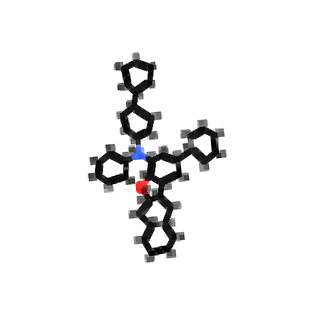 c1ccc(-c2ccc(N(c3ccccc3)c3cc(-c4ccccc4)cc4c3oc3cc5ccccc5cc34)cc2)cc1